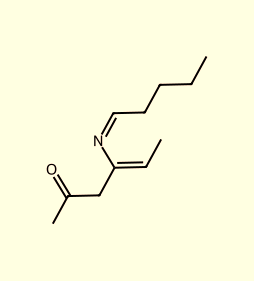 C/C=C(CC(C)=O)\N=C/CCCC